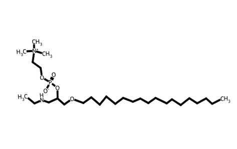 CCCCCCCCCCCCCCCCCCOCC(CNCC)OP(=O)([O-])OCC[N+](C)(C)C